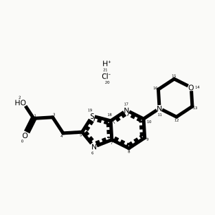 O=C(O)CCc1nc2ccc(N3CCOCC3)nc2s1.[Cl-].[H+]